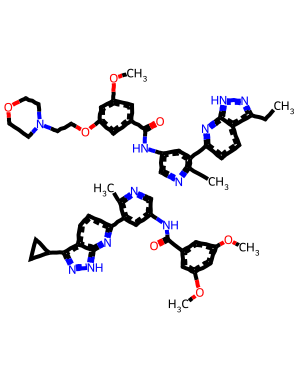 CCc1n[nH]c2nc(-c3cc(NC(=O)c4cc(OC)cc(OCCN5CCOCC5)c4)cnc3C)ccc12.COc1cc(OC)cc(C(=O)Nc2cnc(C)c(-c3ccc4c(C5CC5)n[nH]c4n3)c2)c1